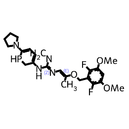 C=N/C(=N\C=C(/C)OCc1c(F)c(OC)cc(OC)c1F)NC1=CC=C(N2CCCC2)PC1